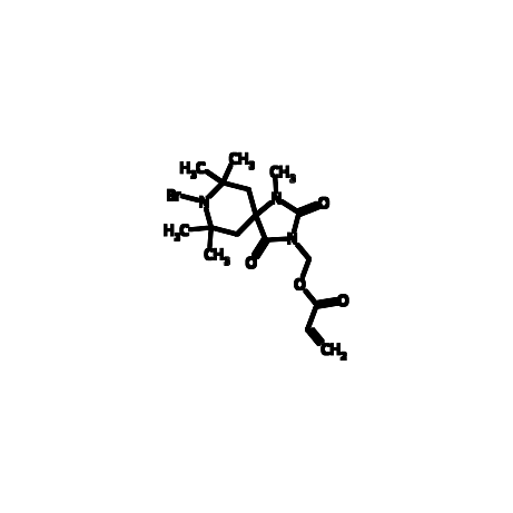 C=CC(=O)OCN1C(=O)N(C)C2(CC(C)(C)N(Br)C(C)(C)C2)C1=O